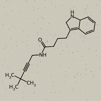 CC(C)(C)C#CCNC(=O)CCCC1=C2C=CC=CC2NC1